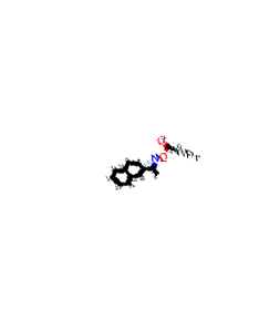 CCCC(=O)O/N=C(\C)c1ccc2ccccc2c1